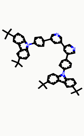 CC(C)(C)c1ccc2c(c1)c1cc(C(C)(C)C)ccc1n2-c1ccc(-c2cncc(-c3cncc(-c4ccc(-n5c6ccc(C(C)(C)C)cc6c6cc(C(C)(C)C)ccc65)cc4)c3)c2)cc1